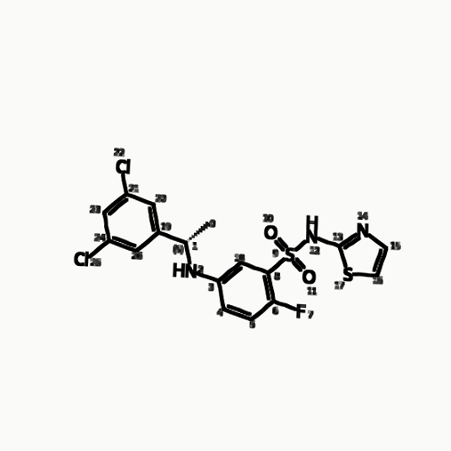 C[C@H](Nc1ccc(F)c(S(=O)(=O)Nc2nccs2)c1)c1cc(Cl)cc(Cl)c1